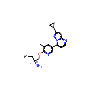 Cc1cc(-c2ccnc3cc(C4CC4)nn23)cnc1OC[C@@](C)(N)CC(C)C